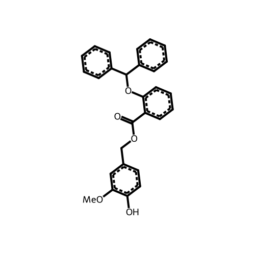 COc1cc(COC(=O)c2ccccc2OC(c2ccccc2)c2ccccc2)ccc1O